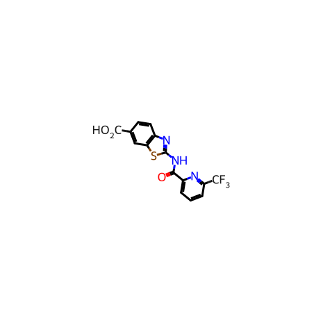 O=C(O)c1ccc2nc(NC(=O)c3cccc(C(F)(F)F)n3)sc2c1